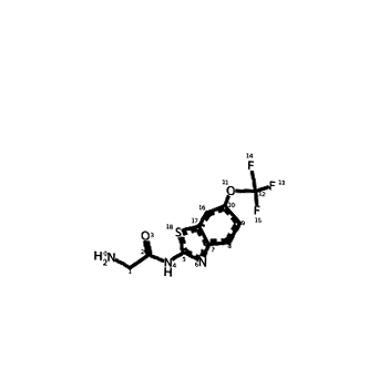 NCC(=O)Nc1nc2ccc(OC(F)(F)F)cc2s1